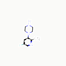 N#Cc1ncc(F)cc1N1CCNCC1